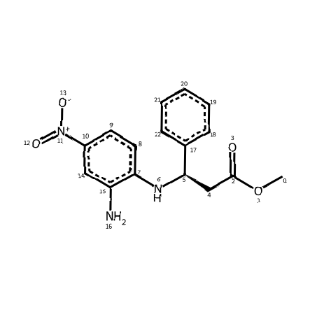 COC(=O)C[C@@H](Nc1ccc([N+](=O)[O-])cc1N)c1ccccc1